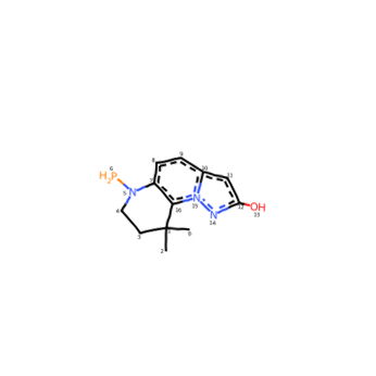 CC1(C)CCN(P)c2ccc3cc(O)nn3c21